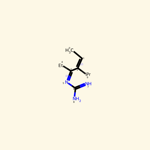 C/C=C(\C(CC)=N/C(=N)N)C(C)C